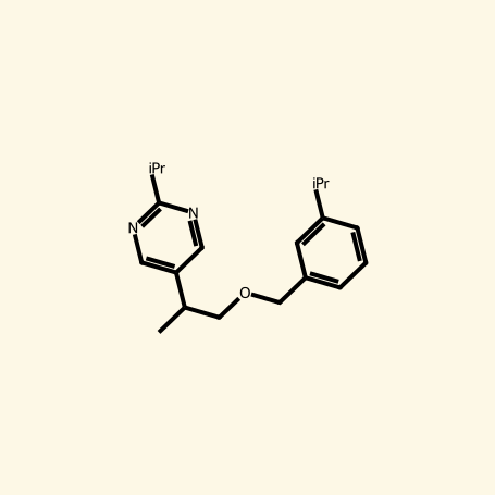 CC(C)c1cccc(COCC(C)c2cnc(C(C)C)nc2)c1